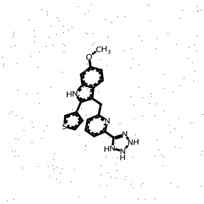 COc1ccc2c(Cc3cccc(C4=NNNN4)n3)c(-c3ccsc3)[nH]c2c1